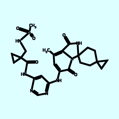 Cc1cc(Nc2cc(NC(=O)C3(CNS(C)(=O)=O)CC3)ncn2)c(=O)n2c1C(=O)NC21CCC2(CC2)CC1